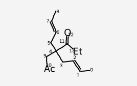 CC=CCC(CC=CC)(CC(C)=O)C(=O)CC